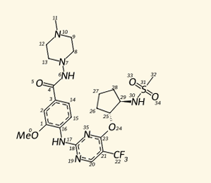 COc1cc(C(=O)NN2CCN(C)CC2)ccc1Nc1ncc(C(F)(F)F)c(O[C@@H]2CCC[C@H]2NS(C)(=O)=O)n1